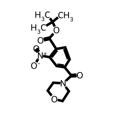 CC(C)(C)OC(=O)c1ccc(C(=O)N2CCOCC2)cc1[N+](=O)[O-]